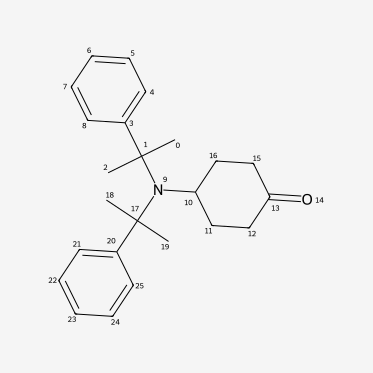 CC(C)(c1ccccc1)N(C1CCC(=O)CC1)C(C)(C)c1ccccc1